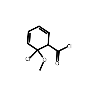 COC1(Cl)C=CC=CC1C(=O)Cl